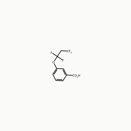 O=C(O)c1cccc(OC(F)(F)CC(F)(F)F)c1